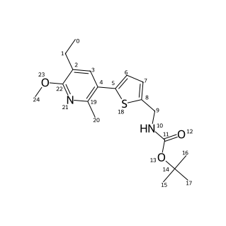 CCc1cc(-c2ccc(CNC(=O)OC(C)(C)C)s2)c(C)nc1OC